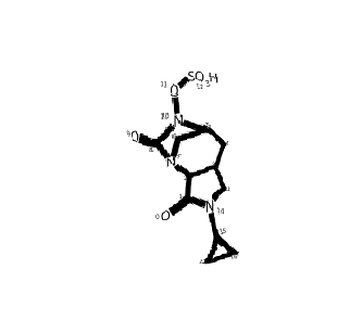 O=C1C2C(CC3CN2C(=O)N3OS(=O)(=O)O)CN1C1CC1